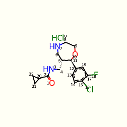 Cl.O=C(NC[C@@H]1CNCCO[C@H]1c1ccc(Cl)c(F)c1)C1CC1